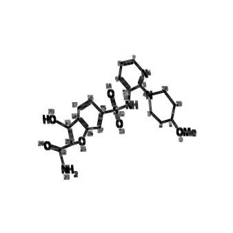 COC1CCN(c2ncccc2NS(=O)(=O)c2ccc3c(O)c(C(N)=O)oc3c2)CC1